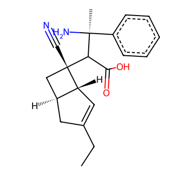 CCC1=C[C@@H]2[C@@H](C1)C[C@]2(C#N)C(C(=O)O)[C@@](C)(N)c1ccccc1